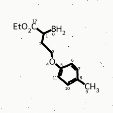 BC(CCOc1ccc(C)cc1)C(=O)OCC